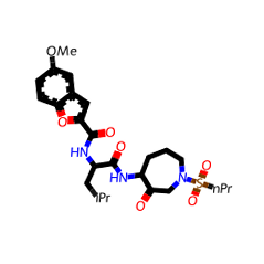 CCCS(=O)(=O)N1CCCC(NC(=O)C(CC(C)C)NC(=O)c2cc3cc(OC)ccc3o2)C(=O)C1